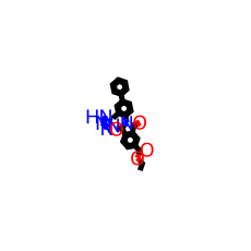 CCOC(=O)c1ccc2c(c1)C(=O)N(c1ccc(-c3ccccc3)cc1-c1nnn[nH]1)C2=O